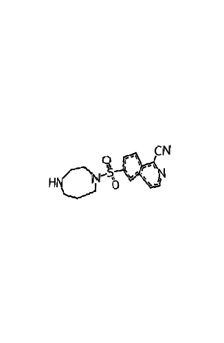 N#Cc1nccc2cc(S(=O)(=O)N3CCCNCC3)ccc12